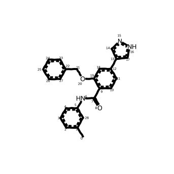 Cc1cccc(NC(=O)c2ccc(-c3cn[nH]c3)cc2OCc2ccccc2)c1